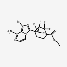 CCOC(=O)C12CCC(c3nc(Br)c4c(N)nccn34)(CC1(F)F)C(F)(F)C2